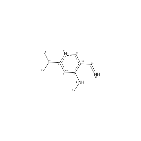 CNc1cc(C(C)C)ncc1C=N